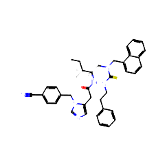 CC[C@H](C)[C@@H](CN(Cc1cccc2ccccc12)C(=S)NCCc1ccccc1)NC(=O)Cc1cncn1Cc1ccc(C#N)cc1